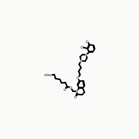 CCCCCCCCCCCCCCCC(=O)OCN1C(=O)CCc2ccc(OCCCCN3CCN(c4cccc(Cl)c4Cl)CC3)cc21